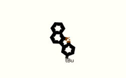 CC(C)(C)c1ccc2sc3c4ccccc4ccc3c2c1